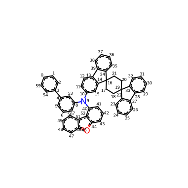 c1ccc(-c2cccc(N(c3ccc4c(c3)C3(CCC5(CC3)c3ccccc3-c3ccccc35)c3ccccc3-4)c3cccc4oc5ccccc5c34)c2)cc1